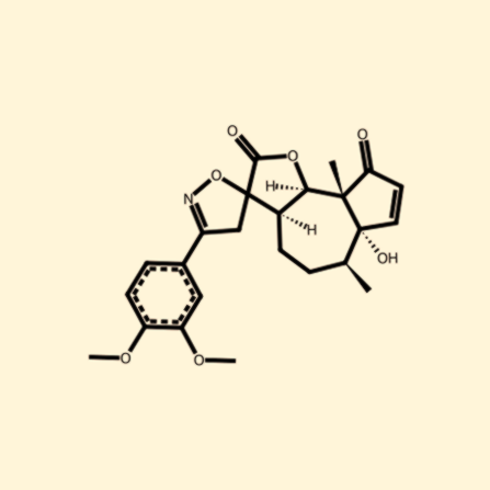 COc1ccc(C2=NOC3(C2)C(=O)O[C@@H]2[C@H]3CC[C@H](C)[C@]3(O)C=CC(=O)[C@@]23C)cc1OC